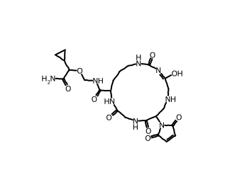 NC(=O)C(OCNC(=O)C1CCCNC(=O)/N=C(/O)CNCC(N2C(=O)C=CC2=O)C(=O)NCC(=O)N1)C1CC1